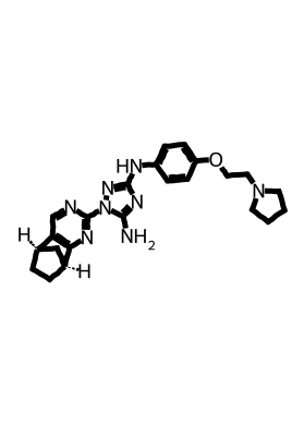 Nc1nc(Nc2ccc(OCCN3CCCC3)cc2)nn1-c1ncc2c(n1)[C@H]1CC[C@@H]2C1